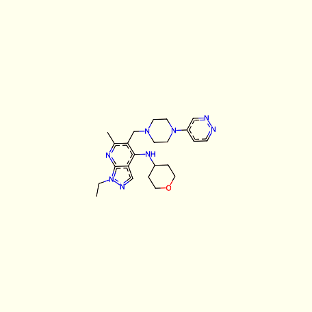 CCn1ncc2c(NC3CCOCC3)c(CN3CCN(c4ccnnc4)CC3)c(C)nc21